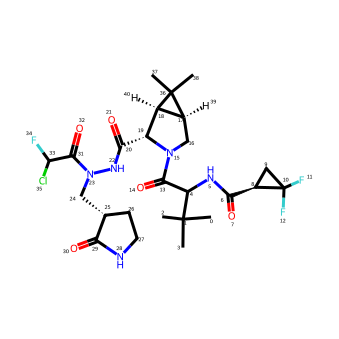 CC(C)(C)C(NC(=O)[C@H]1CC1(F)F)C(=O)N1C[C@H]2[C@@H]([C@H]1C(=O)NN(C[C@@H]1CCNC1=O)C(=O)C(F)Cl)C2(C)C